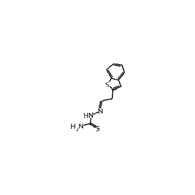 NC(=S)NN=CCc1cc2ccccc2s1